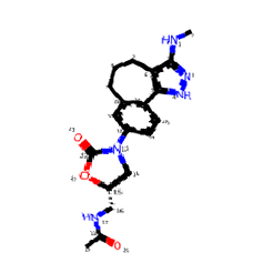 CNc1n[nH]c2c1CCCc1cc(N3C[C@H](CNC(C)=O)OC3=O)ccc1-2